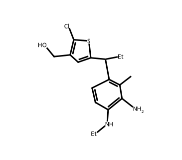 CCNc1ccc(C(CC)c2cc(CO)c(Cl)s2)c(C)c1N